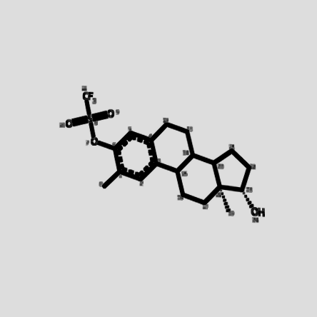 Cc1cc2c(cc1OS(=O)(=O)C(F)(F)F)CCC1C2CC[C@@]2(C)C1CC[C@@H]2O